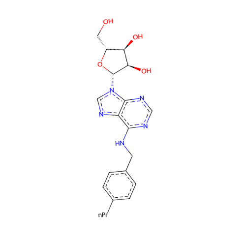 CCCc1ccc(CNc2ncnc3c2ncn3[C@@H]2O[C@H](CO)[C@@H](O)[C@H]2O)cc1